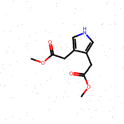 COC(=O)Cc1c[nH]cc1CC(=O)OC